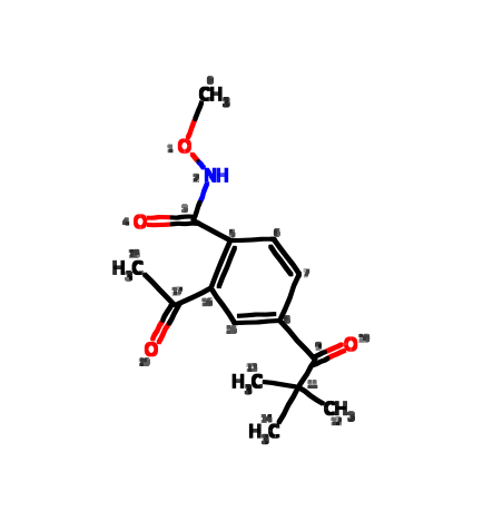 CONC(=O)c1ccc(C(=O)C(C)(C)C)cc1C(C)=O